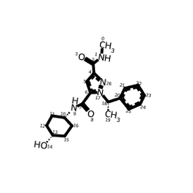 CNC(=O)c1cc(C(=O)N[C@H]2CC[C@@H](O)CC2)n([C@@H](C)c2ccccc2)n1